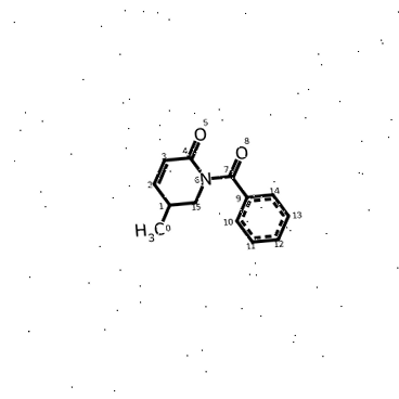 CC1C=CC(=O)N(C(=O)c2ccccc2)C1